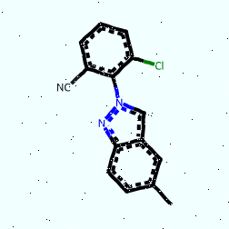 Cc1ccc2nn(-c3c(Cl)cccc3C#N)cc2c1